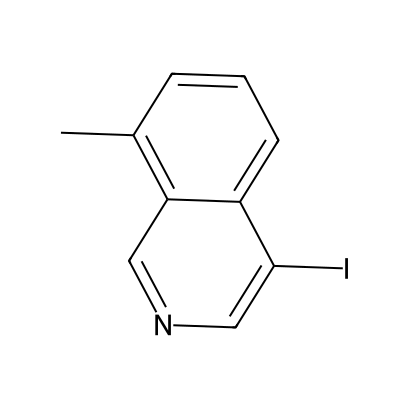 Cc1cccc2c(I)cncc12